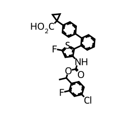 CC(OC(=O)Nc1cc(F)sc1-c1ccccc1-c1ccc(C2(C(=O)O)CC2)cc1)c1ccc(Cl)cc1F